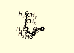 CC(C)=CCC/C(C)=C/CC/C(C)=C/CC/C(C)=C/Cc1cc(C(=O)OCc2ccccc2)ccc1O